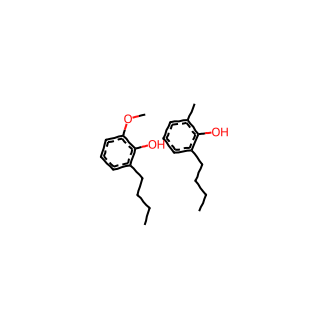 CCCCc1cccc(C)c1O.CCCCc1cccc(OC)c1O